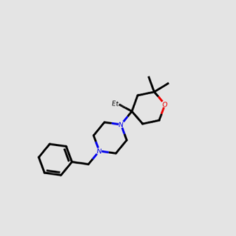 CCC1(N2CCN(CC3=CCCC=C3)CC2)CCOC(C)(C)C1